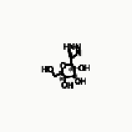 OC[C@H]1OC(c2c[nH]nn2)[C@H](O)[C@@H](O)[C@H]1O